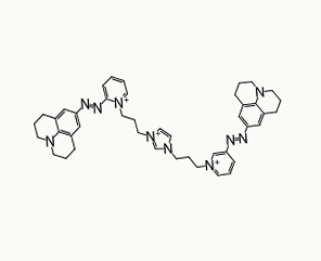 c1cc[n+](CCC[n+]2ccn(CCC[n+]3cccc(N=Nc4cc5c6c(c4)CCCN6CCC5)c3)c2)c(N=Nc2cc3c4c(c2)CCCN4CCC3)c1